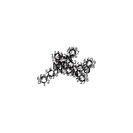 c1ccc(-c2ccc(-c3nc(-c4ccccc4)nc(-c4ccc(N5Cc6ccccc6-c6c5c(-c5ccc7c8ccccc8n(-c8ccccc8)c7c5)cc5c6oc6ccccc65)cc4)n3)cc2)cc1